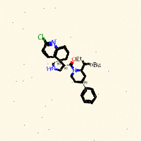 CCCCC(CC)C1C[C@H](c2ccccc2)CCN1C(=O)[C@@H]1CNC[C@]12CCCc1nc(Cl)ccc12